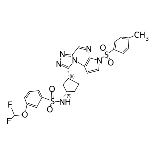 Cc1ccc(S(=O)(=O)n2ccc3c2ncc2nnc([C@@H]4CC[C@H](NS(=O)(=O)c5cccc(OC(F)F)c5)C4)n23)cc1